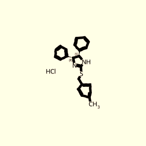 Cc1ccc(CSC2=N[C@H](c3ccccc3)[C@H](c3ccccc3)N2)cc1.Cl